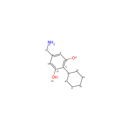 NCc1cc([O])c(C2CCCCC2)c(O)c1